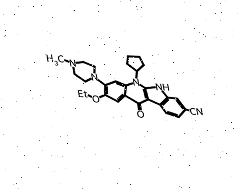 CCOc1cc2c(=O)c3c4ccc(C#N)cc4[nH]c3n(C3CCCC3)c2cc1N1CCN(C)CC1